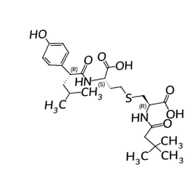 CC(C)C[C@@H](C(=O)N[C@@H](CCSC[C@H](NC(=O)CC(C)(C)C)C(=O)O)C(=O)O)c1ccc(O)cc1